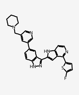 Fc1ccc(-c2nccc3[nH]c(-c4n[nH]c5ccc(-c6cncc(CN7CCCCC7)c6)cc45)cc23)s1